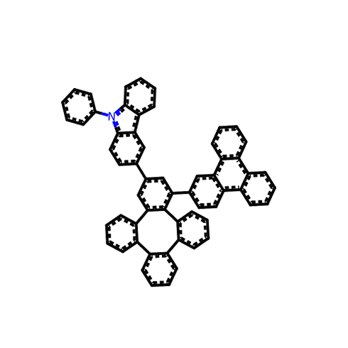 c1ccc(-n2c3ccccc3c3cc(-c4cc(-c5ccc6c7ccccc7c7ccccc7c6c5)c5c(c4)-c4ccccc4-c4ccccc4-c4ccccc4-5)ccc32)cc1